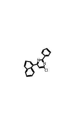 Clc1cc(-c2cccc3ccccc23)nc(-c2ccccc2)n1